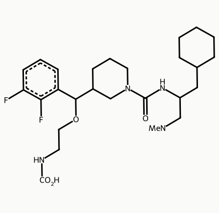 CNCC(CC1CCCCC1)NC(=O)N1CCCC(C(OCCNC(=O)O)c2cccc(F)c2F)C1